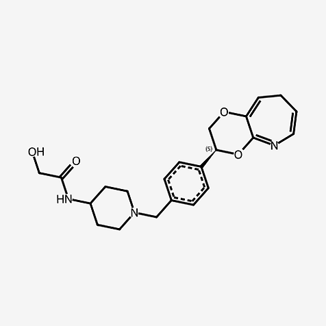 O=C(CO)NC1CCN(Cc2ccc([C@H]3COC4=CCC=CN=C4O3)cc2)CC1